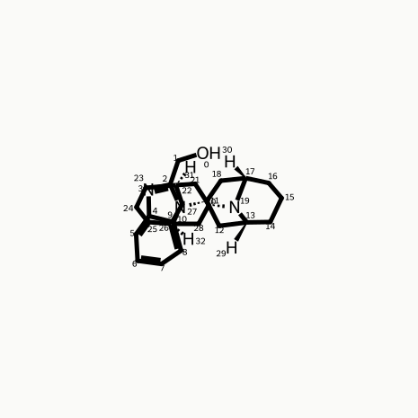 OCc1nc2ccccc2n1[C@H]1C[C@H]2CCC[C@@H](C1)N2[C@H]1C[C@@H]2CCC[C@@H](C2)C1